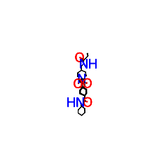 C=CC(=O)NCC1CCN(S(=O)(=O)c2ccc(C(=O)NC3CCCCC3)cc2)CC1